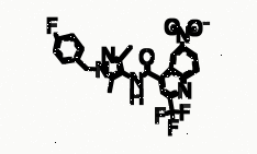 Cc1nn(Cc2ccc(F)cc2)c(C)c1NC(=O)c1cc(C(F)(F)F)nc2ccc([N+](=O)[O-])cc12